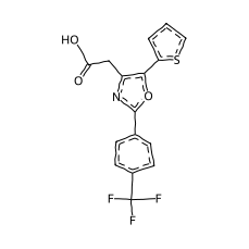 O=C(O)Cc1nc(-c2ccc(C(F)(F)F)cc2)oc1-c1cccs1